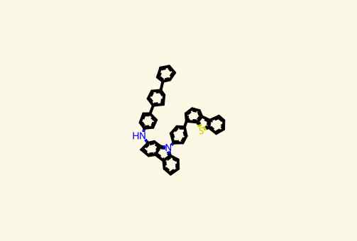 c1ccc(-c2ccc(-c3ccc(Nc4ccc5c6ccccc6n(-c6ccc(-c7cccc8c7sc7ccccc78)cc6)c5c4)cc3)cc2)cc1